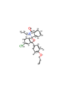 C=CCOc1c(C)cc(COC2(c3ccc(Cl)cc3)c3ccccc3C(=O)N2CCC)cc1C